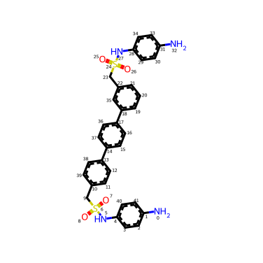 Nc1ccc(NS(=O)(=O)Cc2ccc(-c3ccc(-c4cccc(CS(=O)(=O)Nc5ccc(N)cc5)c4)cc3)cc2)cc1